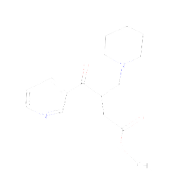 COC(=O)CC(CN1CCCCC1)C(=O)c1cccnc1